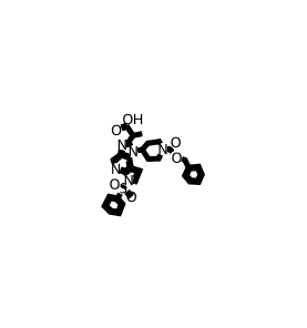 CC(C(=O)O)c1nc2cnc3c(ccn3S(=O)(=O)c3ccccc3)c2n1C1CCN(C(=O)OCc2ccccc2)CC1